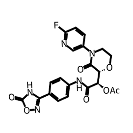 CC(=O)O[C@@H](C(=O)Nc1ccc(-c2noc(=O)[nH]2)cc1)[C@H]1OCCN(c2ccc(F)nc2)C1=O